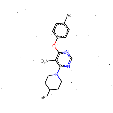 CCCC1CCN(c2ncnc(Oc3ccc(C(C)=O)cc3)c2[N+](=O)[O-])CC1